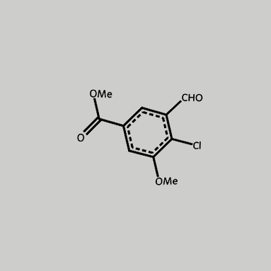 COC(=O)c1cc(C=O)c(Cl)c(OC)c1